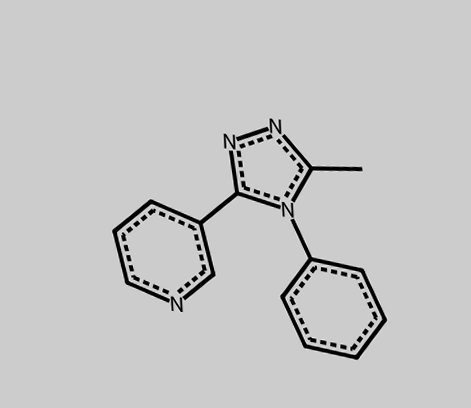 Cc1nnc(-c2cccnc2)n1-c1ccccc1